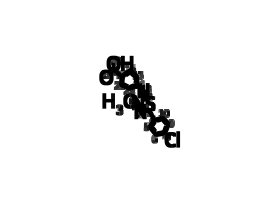 Cn1nc(-c2ccc(Cl)cc2)s/c1=N/c1ccc(C(=O)O)cc1